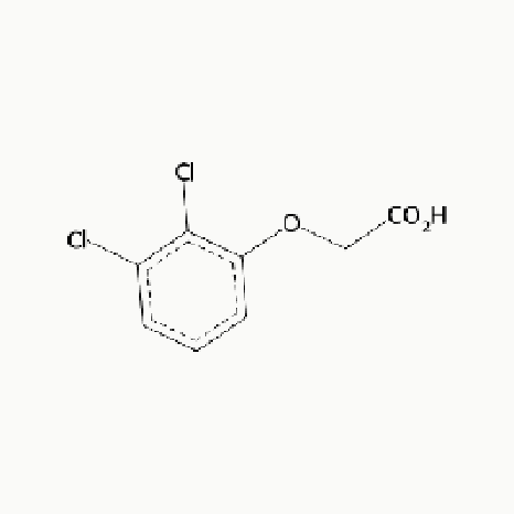 O=C(O)COc1cccc(Cl)c1Cl